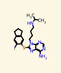 CC(C)NCCCCn1c(Sc2cc3c(cc2I)CCC3)nc2c(N)ncnc21